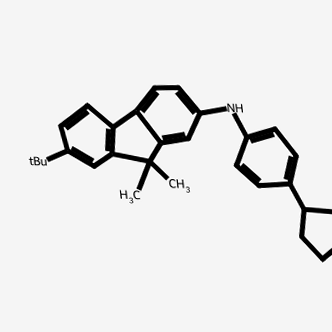 CC(C)(C)c1ccc2c(c1)C(C)(C)c1cc(Nc3ccc(C4CCCC4)cc3)ccc1-2